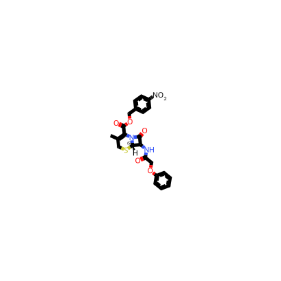 CC1=C(C(=O)OCc2ccc([N+](=O)[O-])cc2)N2C(=O)C(NC(=O)COc3ccccc3)[C@@H]2SC1